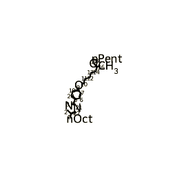 CCCCCCCCc1cnc(-c2ccc(OCCCCCC(C)OCCCCC)cc2)nc1